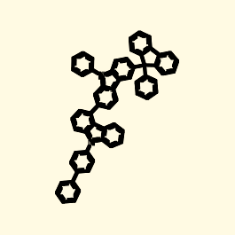 c1ccc(-c2ccc(-n3c4ccccc4c4c(-c5ccc6c7cc(C8(c9ccccc9)c9ccccc9-c9ccccc98)ccc7n(-c7ccccc7)c6c5)cccc43)cc2)cc1